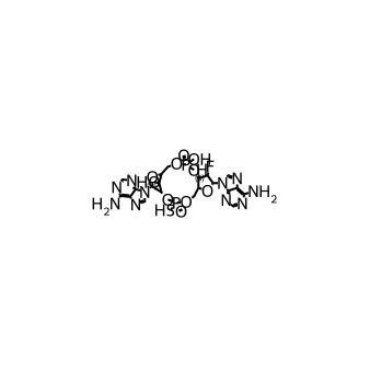 Nc1ncnc2c1ncn2C1OC2COP(=O)(S)OC3C(O)C(COP(=O)(O)O[C@@H]2C1F)O[C@H]3n1cnc2c(N)ncnc21